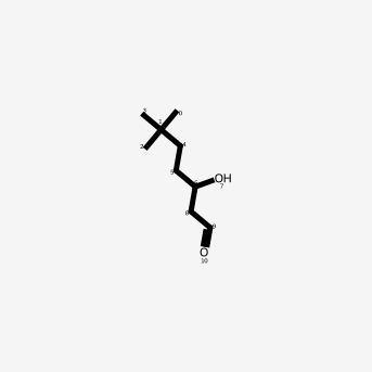 CC(C)(C)CCC(O)CC=O